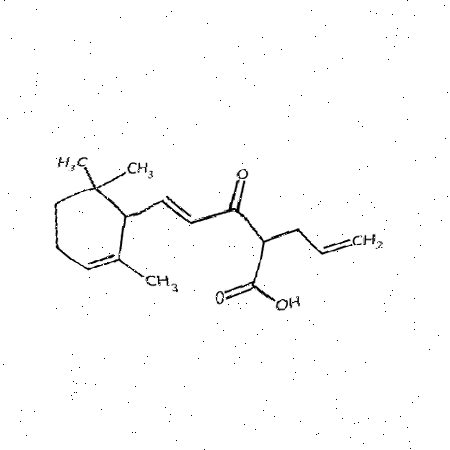 C=CCC(C(=O)O)C(=O)/C=C/C1C(C)=CCCC1(C)C